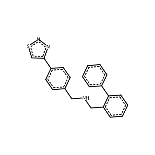 [c]1cccc(CNCc2ccc(-c3csnn3)cc2)c1-c1ccccc1